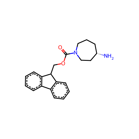 N[C@H]1CCCN(C(=O)OCC2c3ccccc3-c3ccccc32)CC1